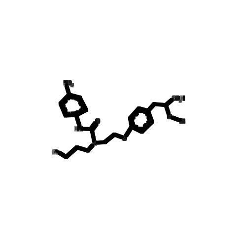 CCOC(Cc1ccc(OCCN(CCCC(C)C)C(=O)Nc2ccc([N+](=O)[O-])cc2)cc1)C(=O)O